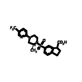 C[C@@H]1CN(c2ccc(C(F)(F)F)cn2)CCN1S(=O)(=O)c1ccc2c(c1)C(C(=O)O)CC2